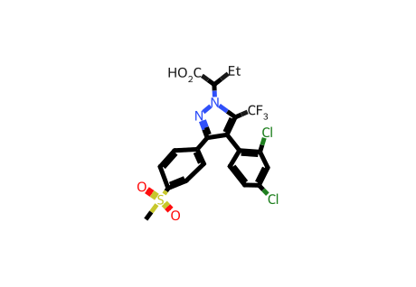 CCC(C(=O)O)n1nc(-c2ccc(S(C)(=O)=O)cc2)c(-c2ccc(Cl)cc2Cl)c1C(F)(F)F